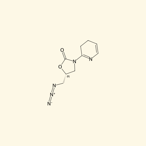 [N-]=[N+]=NC[C@H]1CN(C2=NC=CCC2)C(=O)O1